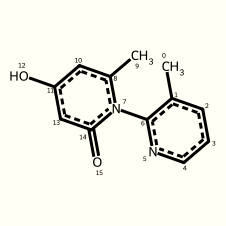 Cc1cccnc1-n1c(C)cc(O)cc1=O